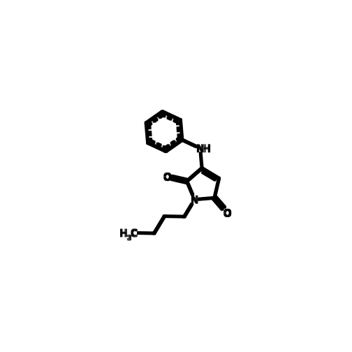 CCCCN1C(=O)C=C(Nc2ccccc2)C1=O